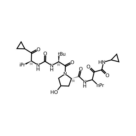 CCCC(NC(=O)[C@@H]1CC(O)CN1C(=O)[C@@H](NC(=O)N[C@H](C(=O)C1CC1)C(C)C)C(C)(C)C)C(=O)C(=O)NC1CC1